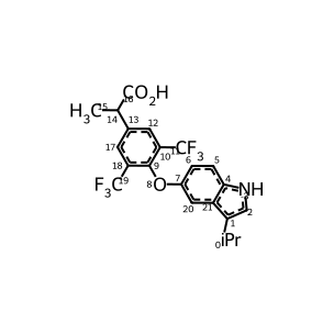 CC(C)c1c[nH]c2ccc(Oc3c(C(F)(F)F)cc(C(C)C(=O)O)cc3C(F)(F)F)cc12